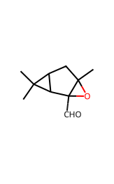 CC1(C)C2CC3(C)OC3(C=O)C21